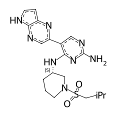 CC(C)CS(=O)(=O)N1CCC[C@H](Nc2nc(N)ncc2-c2cnc3[nH]ccc3n2)C1